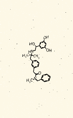 CN(Cc1ccccc1)C(=O)Cc1cccc(CC(C)(C)NCC(O)c2cc(O)cc(O)c2)c1